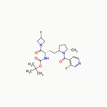 C[C@H]1CCC(CC[C@H](NC(=O)OC(C)(C)C)C(=O)N2CC(F)C2)N1C(=O)c1ccncc1F